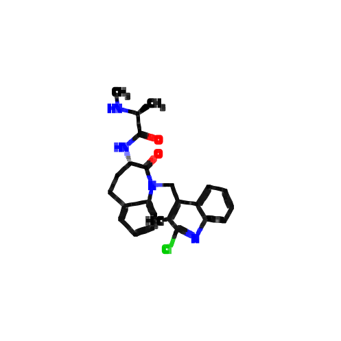 CN[C@@H](C)C(=O)N[C@H]1CCc2ccccc2N(Cc2c(C)c(Cl)nc3ccccc23)C1=O